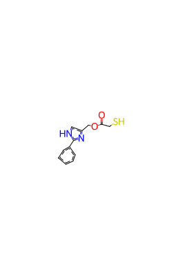 O=C(CS)OCc1c[nH]c(-c2ccccc2)n1